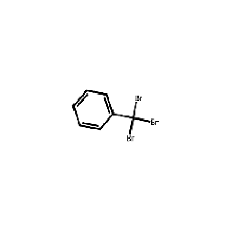 BrC(Br)(Br)c1[c]cccc1